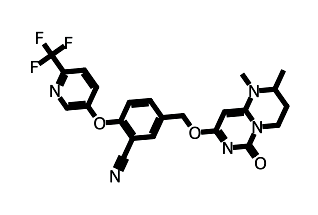 CC1CCn2c(cc(OCc3ccc(Oc4ccc(C(F)(F)F)nc4)c(C#N)c3)nc2=O)N1C